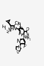 C[C@@H](Nc1nc(Nc2cnc(N3CCOCC3)c(F)c2)c(C(N)=O)cc1F)[C@@H](N)C1CC1